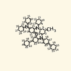 Cc1cc2c3c(c1)N(c1ccccc1)c1cc(N(c4ccccc4)c4ccccc4)ccc1B3c1cc(-c3ccccc3)ccc1N2c1ccc(-c2ccccc2)cc1